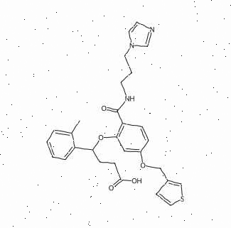 Cc1ccccc1C(CCC(=O)O)Oc1cc(OCc2ccsc2)ccc1C(=O)NCCCn1ccnc1